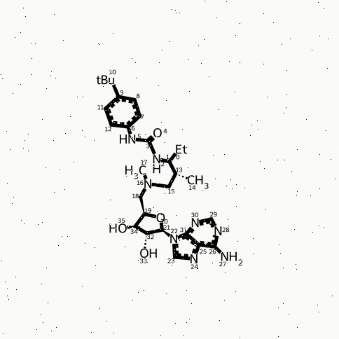 CCC(NC(=O)Nc1ccc(C(C)(C)C)cc1)[C@H](C)CN(C)C[C@H]1O[C@@H](n2cnc3c(N)ncnc32)[C@H](O)[C@H]1O